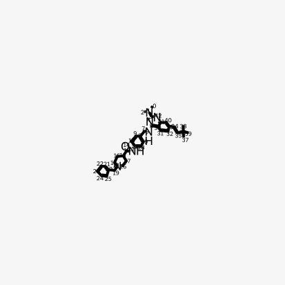 CN(C)c1nc(NCc2ccc(NC(=O)C3CCN(Cc4ccccc4)CC3)cc2)c2ccc(/C=C/C(C)(C)C)cc2n1